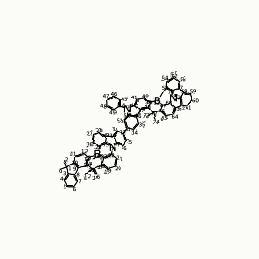 CC1(C)c2ccccc2-c2c1ccc1c2C(C)(C)c2cccc3c2B1c1cccc2c4cc(-c5ccc6c7c8c(ccc7n(-c7ccccc7)c6c5)B5c6cccc7c9cccc%10c%11ccc(c5c%11n(c67)c9%10)C8(C)C)ccc4n-3c12